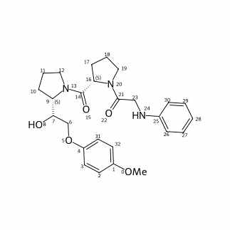 COc1ccc(OCC(O)[C@@H]2CCCN2C(=O)[C@@H]2CCCN2C(=O)CNc2ccccc2)cc1